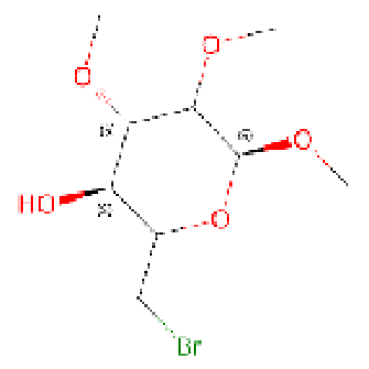 COC1[C@@H](OC)OC(CBr)[C@@H](O)[C@@H]1OC